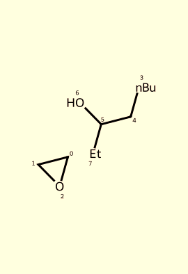 C1CO1.CCCCCC(O)CC